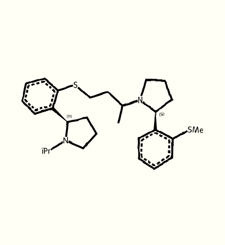 CSc1ccccc1[C@@H]1CCCN1C(C)CCSc1ccccc1[C@H]1CCCN1C(C)C